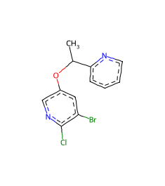 CC(Oc1cnc(Cl)c(Br)c1)c1ccccn1